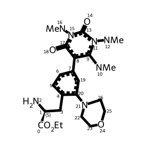 CCOC(=O)[C@@H](N)Cc1ccc(-c2c(NC)n(NC)c(=O)n(NC)c2=O)cc1N1CCOCC1